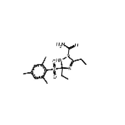 CCC1=NC(CC)(S(=O)(=O)c2c(C)cc(C)cc2C)NN1C(N)=O